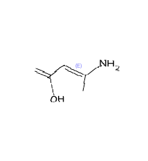 C=C(O)/C=C(\C)N